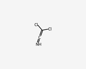 N=C=C(Cl)Cl